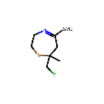 CSC1=NCCSC(C)(CF)C1